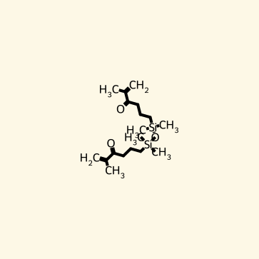 C=C(C)C(=O)CCC[Si](C)(C)O[Si](C)(C)CCCC(=O)C(=C)C